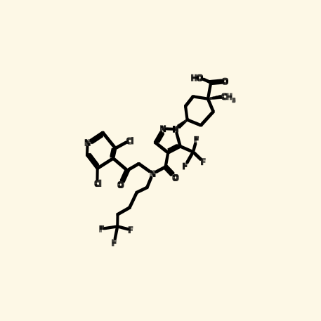 C[C@]1(C(=O)O)CC[C@H](n2ncc(C(=O)N(CCCCC(F)(F)F)CC(=O)c3c(Cl)cncc3Cl)c2C(F)(F)F)CC1